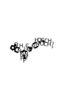 C[C@@H]1[C@H](N2CCN(C(=O)OC(C)(C)C)CC2)CN1c1cc(N2CCC3(CCCC3=O)CC2)nc(C(F)(F)F)n1